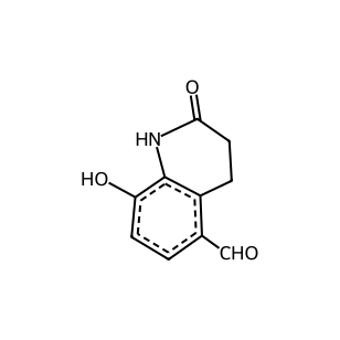 O=Cc1ccc(O)c2c1CCC(=O)N2